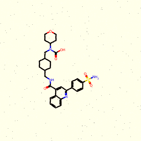 NS(=O)(=O)c1ccc(-c2cc(C(=O)NCC3CCC(CN(C(=O)O)C4CCOCC4)CC3)c3ccccc3n2)cc1